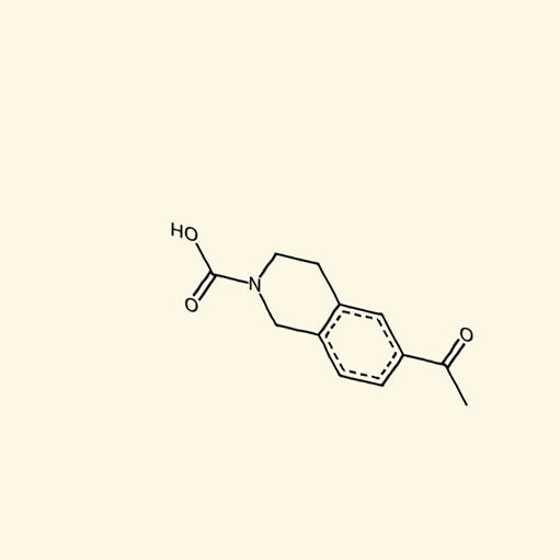 CC(=O)c1ccc2c(c1)CCN(C(=O)O)C2